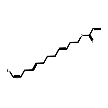 C=CC(=O)OCCC=CCCCC=CC/C=C\CC